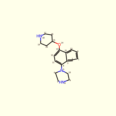 c1ccc2c(N3CCNCC3)ccc(OC3CCNCC3)c2c1